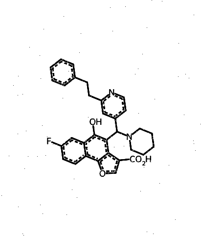 O=C(O)c1coc2c1c(C(c1ccnc(CCc3ccccc3)c1)N1CCCCC1)c(O)c1cc(F)ccc12